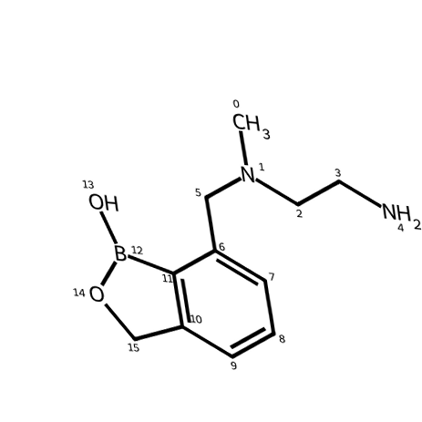 CN(CCN)Cc1cccc2c1B(O)OC2